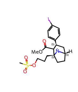 COC(=O)C1[C@@H](c2ccc(I)cc2)C[C@@H]2CC[C@@]1(CCCOS(C)(=O)=O)N2C